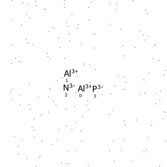 [Al+3].[Al+3].[N-3].[P-3]